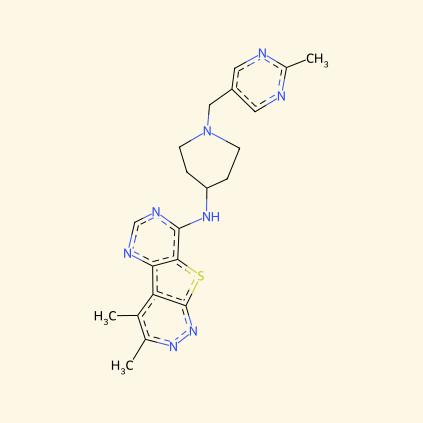 Cc1ncc(CN2CCC(Nc3ncnc4c3sc3nnc(C)c(C)c34)CC2)cn1